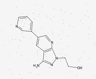 Nc1nn(CCO)c2ncc(-c3cccnc3)cc12